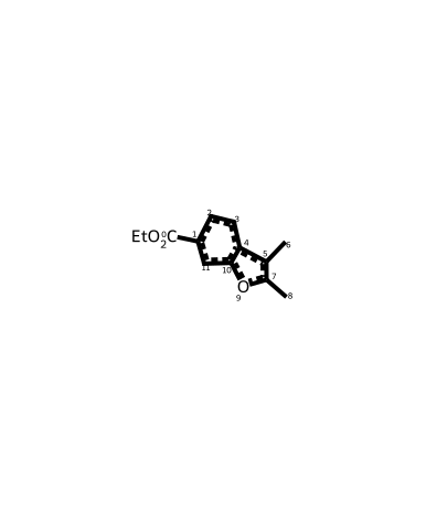 CCOC(=O)c1ccc2c(C)c(C)oc2c1